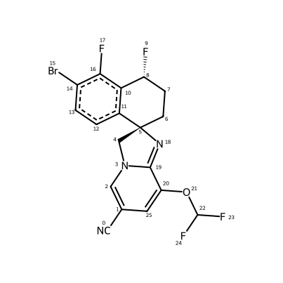 N#CC1=CN2C[C@@]3(CC[C@@H](F)c4c3ccc(Br)c4F)N=C2C(OC(F)F)=C1